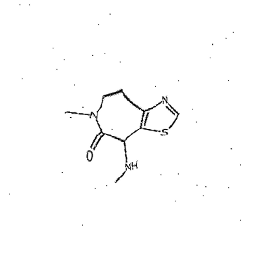 CNC1C(=O)N(C)CCc2ncsc21